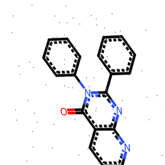 O=c1c2cccnc2nc(-c2ccccc2)n1-c1ccccc1